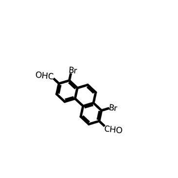 O=Cc1ccc2c(ccc3c(Br)c(C=O)ccc32)c1Br